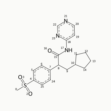 CS(=O)(=O)c1ccc(C(CC2CCCC2)C(=O)Nc2ccncn2)cc1